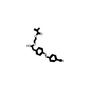 C=C(C)C(=O)OCCOC(O)Cc1ccc(N=Nc2ccc(C#N)cc2)cc1